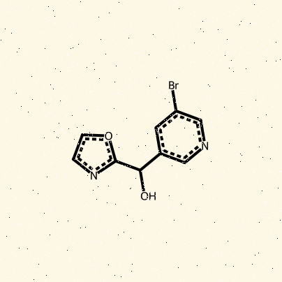 OC(c1cncc(Br)c1)c1ncco1